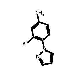 Cc1ccc(-n2cccn2)c(Br)c1